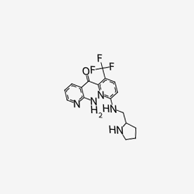 Nc1ncccc1C(=O)c1nc(NCC2CCCN2)ccc1C(F)(F)F